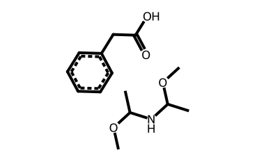 COC(C)NC(C)OC.O=C(O)Cc1ccccc1